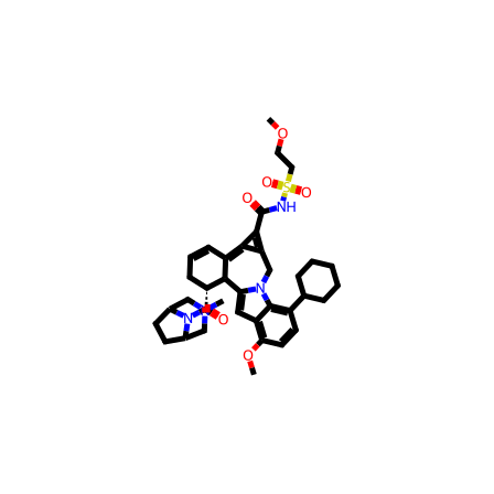 COCCS(=O)(=O)NC(=O)C1=C2Cn3c(cc4c(OC)ccc(C5CCCCC5)c43)C3C(=C21)C=CC[C@H]3C(=O)N1C2CCC1CN(C)C2